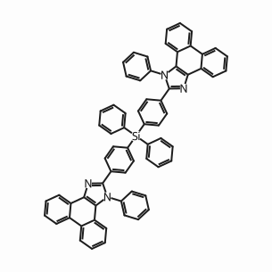 c1ccc(-n2c(-c3ccc([Si](c4ccccc4)(c4ccccc4)c4ccc(-c5nc6c7ccccc7c7ccccc7c6n5-c5ccccc5)cc4)cc3)nc3c4ccccc4c4ccccc4c32)cc1